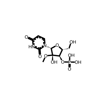 CO[C@@]1(O)[C@H](OP(=O)(O)O)[C@@H](CO)O[C@H]1n1ccc(=O)[nH]c1=O